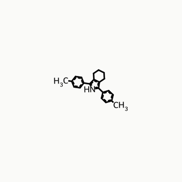 Cc1ccc(-c2[nH]c(-c3ccc(C)cc3)c3c2CCCC3)cc1